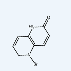 O=c1ccc2c([nH]1)C=CCN2Br